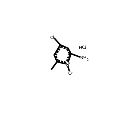 Cc1cc(Cl)cc(N)[n+]1[O-].Cl